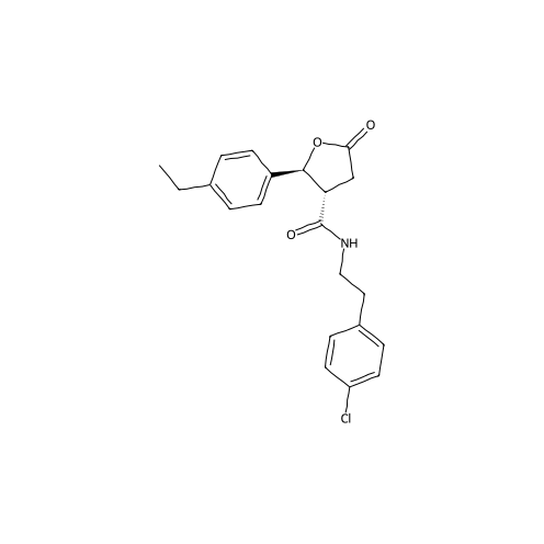 CCc1ccc([C@H]2OC(=O)C[C@@H]2C(=O)NCCc2ccc(Cl)cc2)cc1